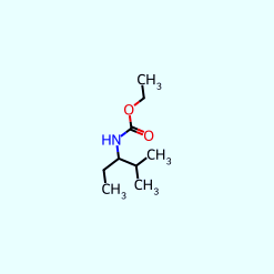 CCOC(=O)NC(CC)C(C)C